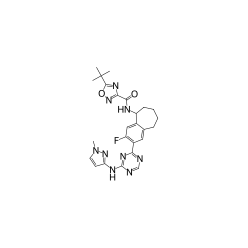 Cn1ccc(Nc2ncnc(-c3cc4c(cc3F)C(NC(=O)c3noc(C(C)(C)C)n3)CCCC4)n2)n1